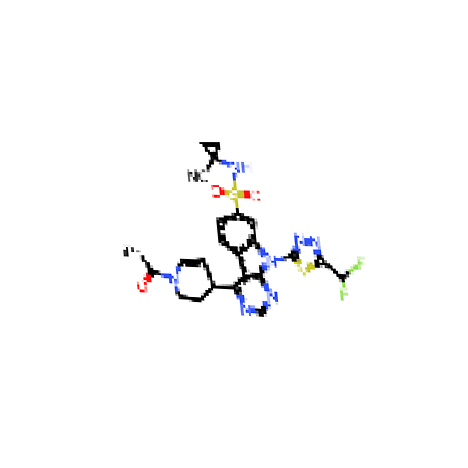 CC(C)C(=O)N1C=CC(c2ncnc3c2c2ccc(S(=O)(=O)NC4(C#N)CC4)cc2n3-c2nnc(C(F)F)s2)CC1